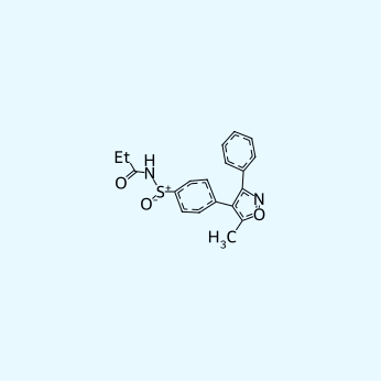 CCC(=O)N[S+]([O-])c1ccc(-c2c(-c3ccccc3)noc2C)cc1